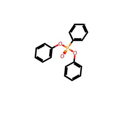 O=P(Oc1ccccc1)(Oc1ccccc1)c1cc[c]cc1